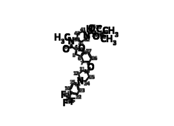 CN(C(=O)c1cc2cc(OC3CCN(c4ccc(C(F)(F)F)cc4)CC3)ccc2o1)C1CCN(C(=O)OC(C)(C)C)CC1